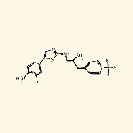 Nc1ccc(-c2cnc(NCC(N)Cc3ccc(C(F)(F)F)cc3)s2)cc1F